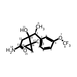 C[C@@H](c1cccc(OC(F)(F)F)c1)C(O)(CC(N)=O)C1(C(F)(F)F)CC1